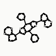 c1ccc(-c2c3cc(-c4cccc5nccnc45)sc3c(-c3ccccc3)c3cc(-c4cccc5nccnc45)sc23)cc1